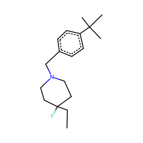 CCC1(F)CCN(Cc2ccc(C(C)(C)C)cc2)CC1